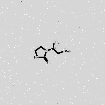 COC[C@H](C)N1CCNC1=O